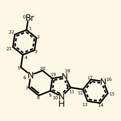 Brc1ccc(CN2C=Cc3[nH]c(-c4cccnc4)nc3C2)cc1